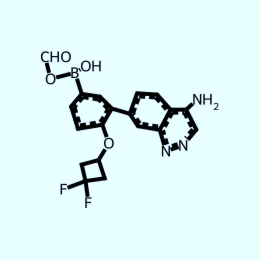 Nc1cnnc2cc(-c3cc(B(O)OC=O)ccc3OC3CC(F)(F)C3)ccc12